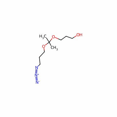 CC(C)(OCCCO)OCCCN=[N+]=[N-]